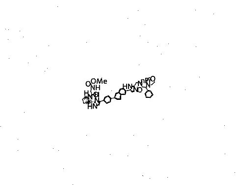 CCCN(Cc1ncc(-c2ccc3cc(-c4ccc(-c5cnc([C@@H]6[C@H]7CC[C@H](C7)N6C(=O)CNC(=O)OC)[nH]5)cc4)ccc3c2)[nH]1)C(=O)C(c1ccccc1)N1CCOCC1